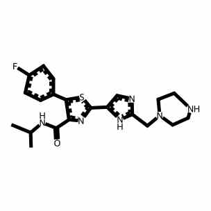 CC(C)NC(=O)c1nc(-c2cnc(CN3CCNCC3)[nH]2)sc1-c1ccc(F)cc1